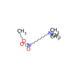 CCCCCCOC(=O)C1CC(=O)N(CCCCCCCCCCCC[N+](CC)(CC)CC)C1